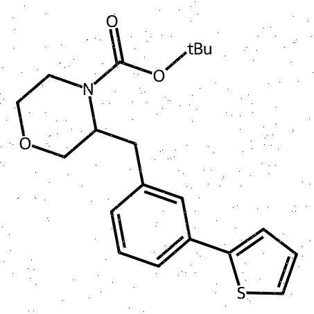 CC(C)(C)OC(=O)N1CCOCC1Cc1cccc(-c2cccs2)c1